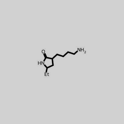 CCC1CC(CCCCN)C(=O)N1